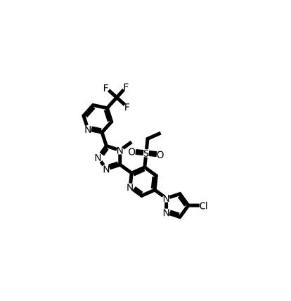 CCS(=O)(=O)c1cc(-n2cc(Cl)cn2)cnc1-c1nnc(-c2cc(C(F)(F)F)ccn2)n1C